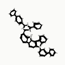 C1=CC2c3cccc(-c4nc(-c5ccccc5)nc(-c5ccc(-c6ccccc6)cc5)n4)c3OC2c2c1n(-c1cccc(-c3ccccc3)c1)c1ccccc21